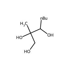 CCCCC(O)C(C)(O)CO